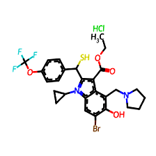 CCOC(=O)c1c(C(S)c2ccc(OC(F)(F)F)cc2)n(C2CC2)c2cc(Br)c(O)c(CN3CCCC3)c12.Cl